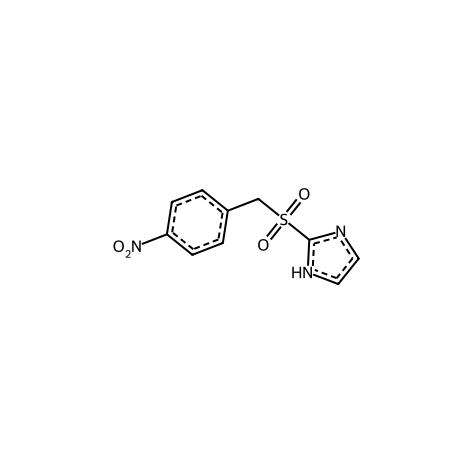 O=[N+]([O-])c1ccc(CS(=O)(=O)c2ncc[nH]2)cc1